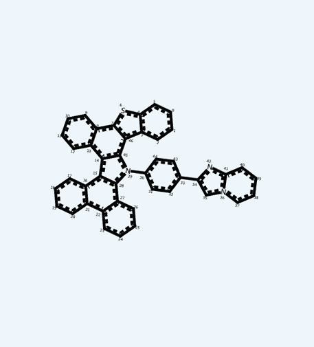 c1ccc2c(c1)sc1c3ccccc3c3c4c5ccccc5c5ccccc5c4n(-c4ccc(-c5cn6ccccc6n5)cc4)c3c21